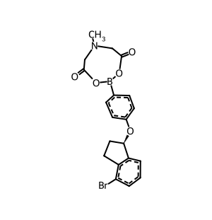 CN1CC(=O)OB(c2ccc(O[C@@H]3CCc4c(Br)cccc43)cc2)OC(=O)C1